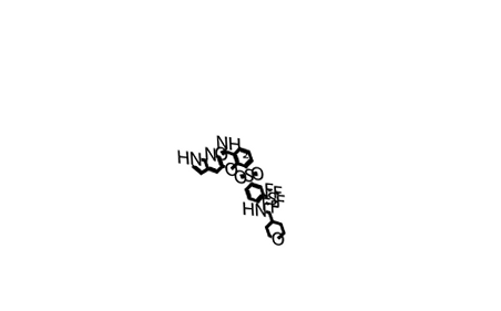 NC(=O)c1cccc(S(=O)(=O)c2ccc(NCC3CCOCC3)c(S(F)(F)(F)(F)F)c2)c1Oc1cnc2[nH]ccc2c1